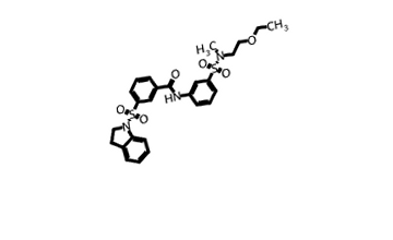 CCOCCN(C)S(=O)(=O)c1cccc(NC(=O)c2cccc(S(=O)(=O)N3CCc4ccccc43)c2)c1